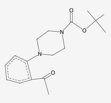 CC(=O)c1ccccc1N1CCN(C(=O)OC(C)(C)C)CC1